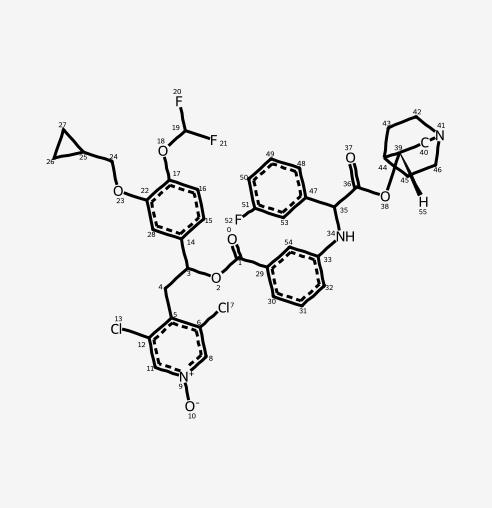 O=C(OC(Cc1c(Cl)c[n+]([O-])cc1Cl)c1ccc(OC(F)F)c(OCC2CC2)c1)c1cccc(NC(C(=O)O[C@H]2CN3CCC2CC3)c2cccc(F)c2)c1